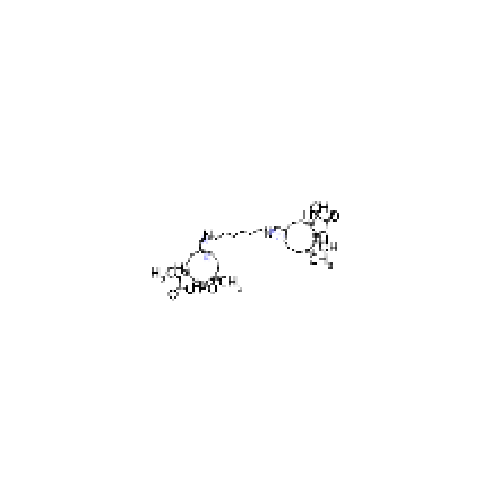 C=C1C(=O)C[C@@H]2[C@H](O)[C@@H](C)CC/C=C(/C=N/CCCCCC/N=C\C3=C\CC[C@@]4(C)O[C@H]4[C@H]4OC(=O)C(=C)[C@@H]4CC3)CC[C@@H]12